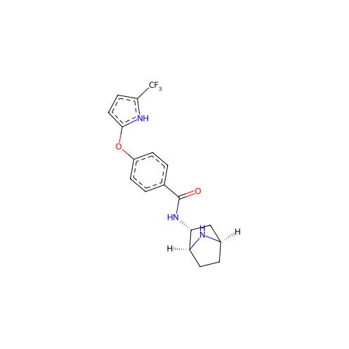 O=C(N[C@@H]1C[C@H]2CC[C@@H]1N2)c1ccc(Oc2ccc(C(F)(F)F)[nH]2)cc1